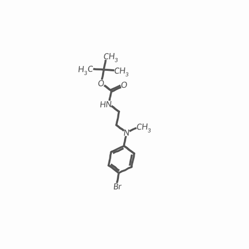 CN(CCNC(=O)OC(C)(C)C)c1ccc(Br)cc1